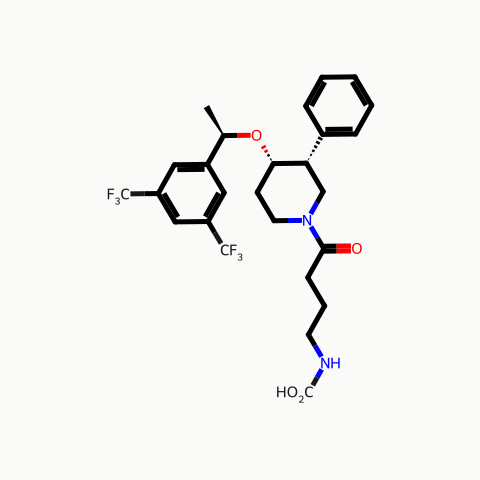 C[C@@H](O[C@H]1CCN(C(=O)CCCNC(=O)O)C[C@H]1c1ccccc1)c1cc(C(F)(F)F)cc(C(F)(F)F)c1